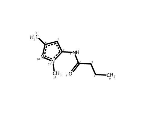 CCCC(=O)Nc1cc(C)nn1C